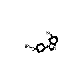 CC(C)Oc1ccc(-n2cnc3ccc(Br)cc32)cc1